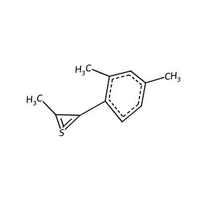 CC1=S=C1c1ccc(C)cc1C